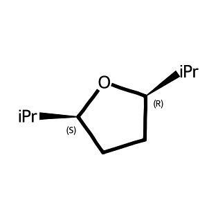 CC(C)[C@@H]1CC[C@H](C(C)C)O1